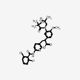 COc1ccc(C(Cc2ccc(NC(=O)c3c(Cl)cccc3Cl)nc2)C(=O)O)cc1N(CC(C)C)C(=O)C(C)(C)C